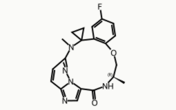 C[C@@H]1COc2ccc(F)cc2C2(CC2)N(C)c2ccc3ncc(n3n2)C(=O)N1